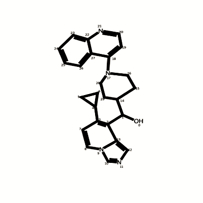 OC(c1c(C2CC2)ccn2cncc12)C1CCN(c2ccnc3ccccc23)CC1